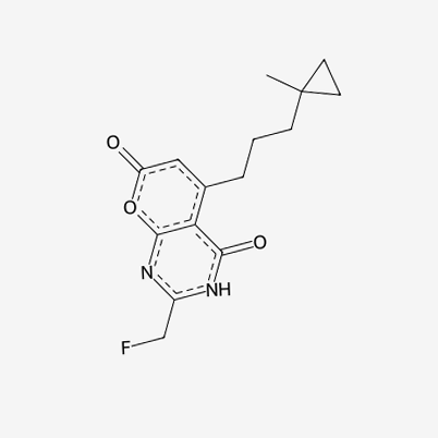 CC1(CCCc2cc(=O)oc3nc(CF)[nH]c(=O)c23)CC1